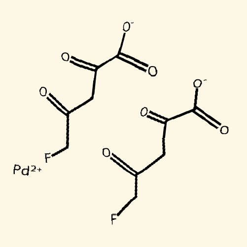 O=C(CF)CC(=O)C(=O)[O-].O=C(CF)CC(=O)C(=O)[O-].[Pd+2]